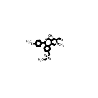 CCS(=O)(=O)Cc1ccc2c(c1)C1=CN(C)C(C=O)C=C1[C@H](C)N=C2c1ccc(OC)cc1